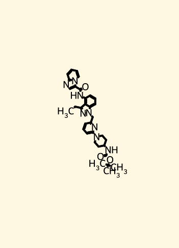 CCc1nn(Cc2cccc(N3CCC(NC(=O)OC(C)(C)C)CC3)n2)c2cccc(NC(=O)c3cnc4ccccn34)c12